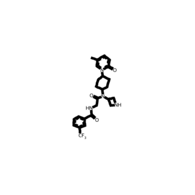 Cc1ccc(=O)n(C2CCC(N(C(=O)CNC(=O)c3cccc(C(F)(F)F)c3)C3CNC3)CC2)c1